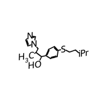 CC(C)CCSc1ccc(C(O)C(C)Cn2ccnc2)cc1